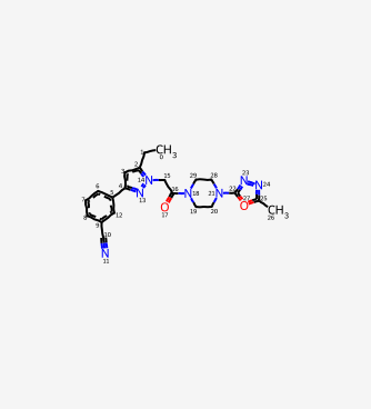 CCc1cc(-c2cccc(C#N)c2)nn1CC(=O)N1CCN(c2nnc(C)o2)CC1